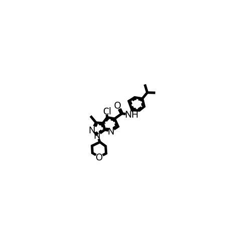 Cc1nn(C2CCOCC2)c2ncc(C(=O)Nc3ccc(C(C)C)cc3)c(Cl)c12